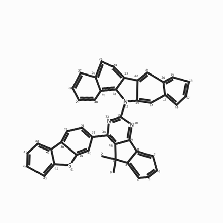 CC1(C)c2ccccc2-c2nc(-n3c4cc5ccccc5cc4c4ccc5ccccc5c43)nc(-c3ccc4c(c3)sc3ccccc34)c21